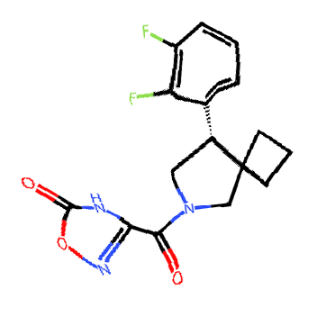 O=C(c1noc(=O)[nH]1)N1C[C@H](c2cccc(F)c2F)C2(CCC2)C1